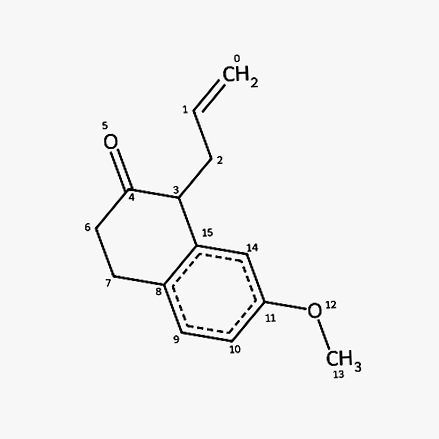 C=CCC1C(=O)CCc2ccc(OC)cc21